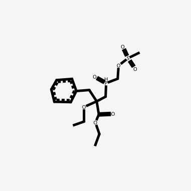 CCOC(=O)C(Cc1ccccc1)(C[PH](=O)COS(C)(=O)=O)OCC